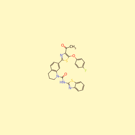 CC(=O)c1nc(-c2ccc3c(c2)N(C(=O)Nc2nc4ccccc4s2)CCC3)sc1Oc1ccc(F)cc1